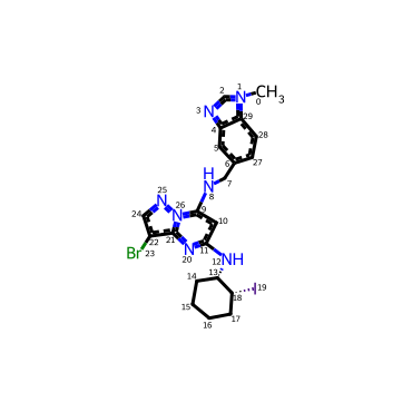 Cn1cnc2cc(CNc3cc(N[C@H]4CCCC[C@H]4I)nc4c(Br)cnn34)ccc21